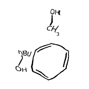 CCCCO.CO.c1ccccc1